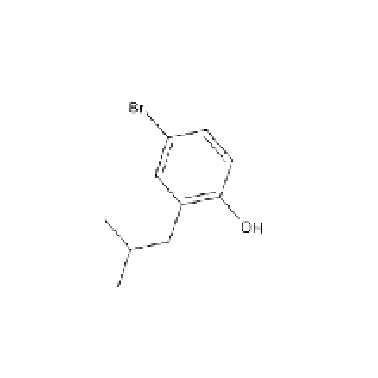 CC(C)Cc1cc(Br)ccc1O